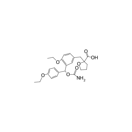 CCOc1ccc(C(OC(N)=O)c2cc(CC3(C(=O)O)CCCO3)ccc2OCC)cc1